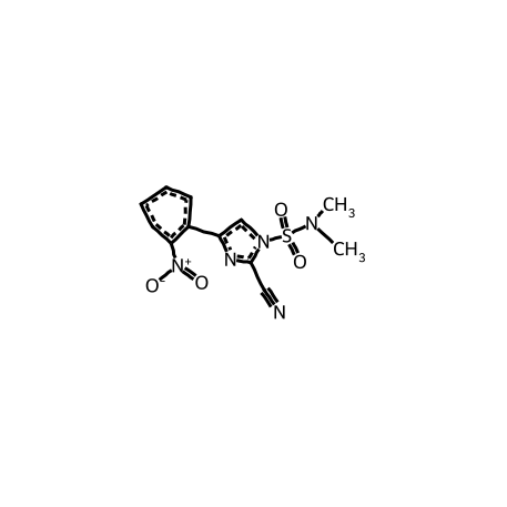 CN(C)S(=O)(=O)n1cc(-c2ccccc2[N+](=O)[O-])nc1C#N